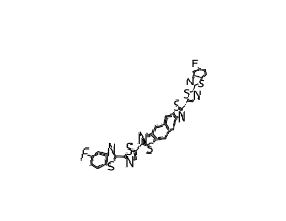 Fc1ccc2sc(-c3ncc(-c4nc5cc6cc7sc(-c8cnc(-c9nc%10cc(F)ccc%10s9)s8)nc7cc6cc5s4)s3)nc2c1